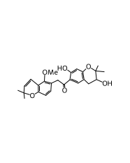 COc1c(CC(=O)c2cc3c(cc2O)OC(C)(C)C(O)C3)ccc2c1C=CC(C)(C)O2